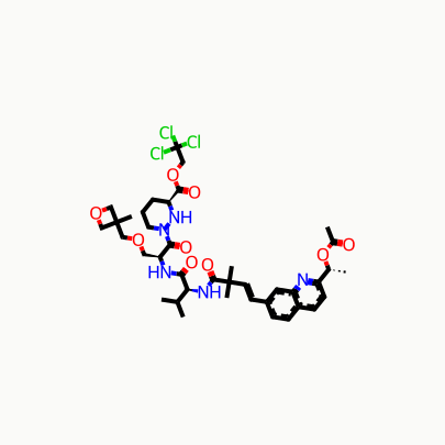 CC(=O)O[C@H](C)c1ccc2ccc(C=CC(C)(C)C(=O)N[C@H](C(=O)N[C@@H](COCC3(C)COC3)C(=O)N3CCC[C@@H](C(=O)OCC(Cl)(Cl)Cl)N3)C(C)C)cc2n1